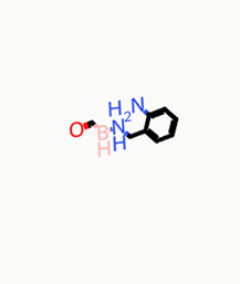 Nc1ccccc1CNBC=O